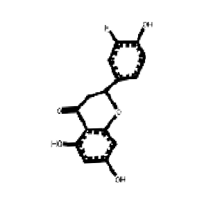 O=C1CC(c2ccc(O)c(F)c2)Oc2cc(O)cc(O)c21